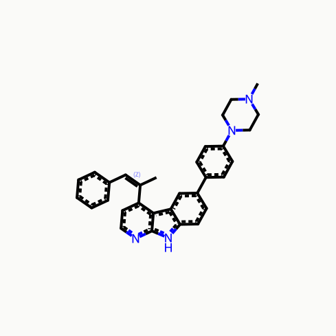 C/C(=C/c1ccccc1)c1ccnc2[nH]c3ccc(-c4ccc(N5CCN(C)CC5)cc4)cc3c12